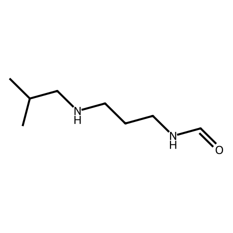 CC(C)CNCCCNC=O